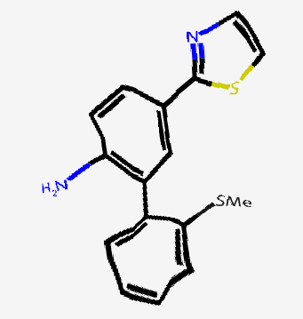 CSc1ccccc1-c1cc(-c2nccs2)ccc1N